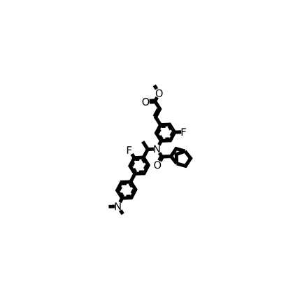 COC(=O)/C=C/c1cc(F)cc(N(C(=O)C2CC3CCC2C3)C(C)c2ccc(-c3ccc(N(C)C)cc3)cc2F)c1